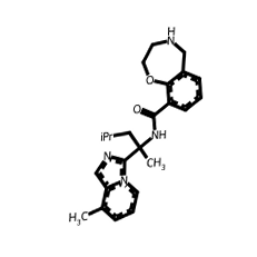 Cc1cccn2c(C(C)(CC(C)C)NC(=O)c3cccc4c3OCCNC4)ncc12